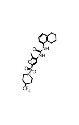 Cc1oc(S(=O)(=O)N2CCC(C(F)(F)F)CC2)cc1NC(=O)Nc1cccc2c1CCCC2